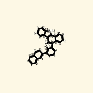 c1ccc2cc(-c3cccc4c3sc3c4c4ccccc4c4[nH]c5ccccc5c43)ccc2c1